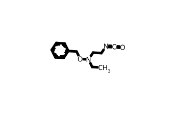 CCN(CCN=C=O)OCc1ccccc1